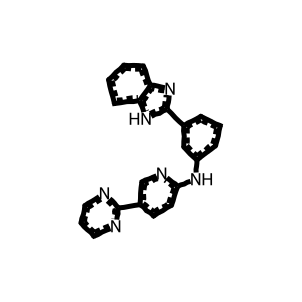 c1cnc(-c2ccc(Nc3cccc(-c4nc5ccccc5[nH]4)c3)nc2)nc1